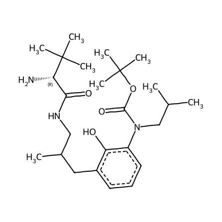 CC(C)CN(C(=O)OC(C)(C)C)c1cccc(CC(C)CNC(=O)[C@H](N)C(C)(C)C)c1O